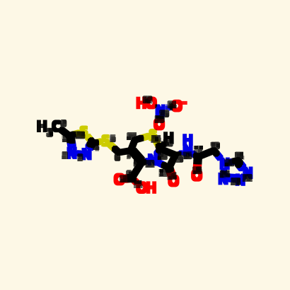 Cc1nnc(SCC2=C(C(=O)O)N3C(=O)[C@@H](NC(=O)Cn4cnnn4)[C@H]3SC2)s1.O=[N+]([O-])O